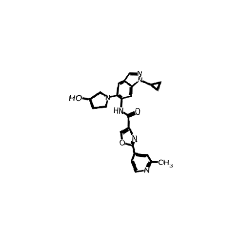 Cc1cc(-c2nc(C(=O)Nc3cc4c(cnn4C4CC4)cc3N3CCC(O)C3)co2)ccn1